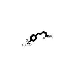 CS(=O)(=O)c1ccc(CC/C=C\C(N)=O)cc1